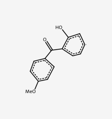 COc1ccc(C(=O)c2cc[c]cc2O)cc1